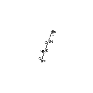 CC(C)(C)C(=O)CCCCCNC(=O)CCCCC(=O)NCCCCCC(=O)C(C)(C)C